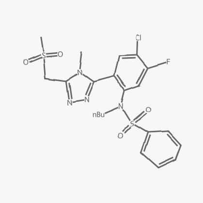 CCCCN(c1cc(F)c(Cl)cc1-c1nnc(CS(C)(=O)=O)n1C)S(=O)(=O)c1ccccc1